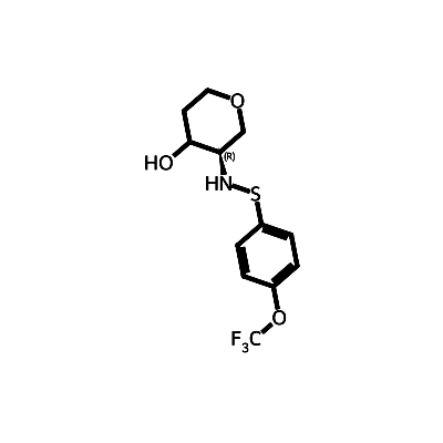 OC1CCOC[C@H]1NSc1ccc(OC(F)(F)F)cc1